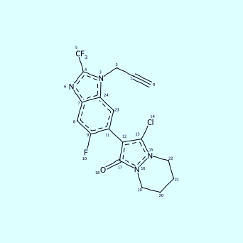 C#CCn1c(C(F)(F)F)nc2cc(F)c(-c3c(Cl)n4n(c3=O)CCCC4)cc21